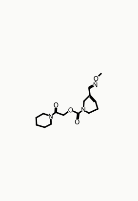 CO/N=C/C1=CCCN(C(=O)OCC(=O)N2CCCCC2)C1